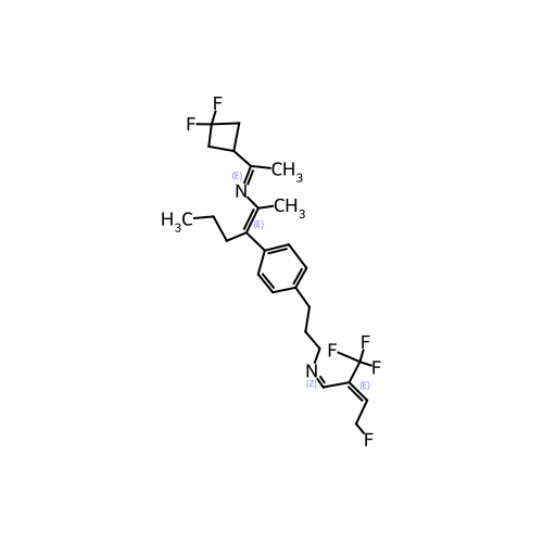 CCC/C(=C(C)\N=C(/C)C1CC(F)(F)C1)c1ccc(CCC/N=C\C(=C/CF)C(F)(F)F)cc1